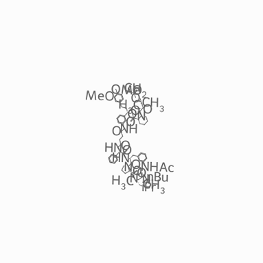 C=CC(=O)OCC(C)(C)C(=O)C(=O)N1CCCC[C@H]1C(=O)O[C@H](CCc1ccc(OC)c(OC)c1)c1cccc(NC(=O)CCC(=O)N[C@H](C(=O)N[C@@H](Cc2cccc(NC(C)=O)c2)C(=O)N2CCC[C@@H]2C(=O)N(C)[C@@H](CC(C)C)C(=O)N(C)CCCC)c2ccccc2)c1